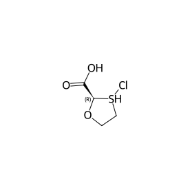 O=C(O)[C@@H]1OCC[SH]1Cl